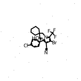 N#Cc1c(Br)c(C(F)(F)F)n(CC2(C(=O)O)CCCCC2)c1-c1ccc(Cl)cc1